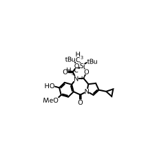 COc1cc2c(cc1O)N(C(=O)OC(C)(C)C)[C@@H](O[Si](C)(C)C(C)(C)C)C1CC(C3CC3)=CN1C2=O